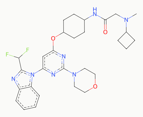 CN(CC(=O)NC1CCC(Oc2cc(-n3c(C(F)F)nc4ccccc43)nc(N3CCOCC3)n2)CC1)C1CCC1